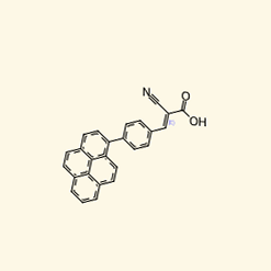 N#C/C(=C\c1ccc(-c2ccc3ccc4cccc5ccc2c3c45)cc1)C(=O)O